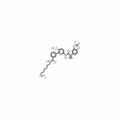 Cc1ccc(NC(=O)C2(c3ccc4c(c3)OC(F)(F)O4)CC2)nc1-c1cccc(C(=O)NCCCCCCN)c1